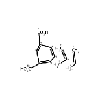 C=CC.C=CC.O=C(O)c1cccc(C(=O)O)c1